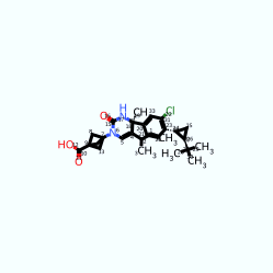 CCC(C)C1=CN(C23CC(C(=O)O)(C2)C3)C(=O)N[C@@]1(C)c1ccc([C@@H]2C[C@H]2C(C)(C)C)c(Cl)c1